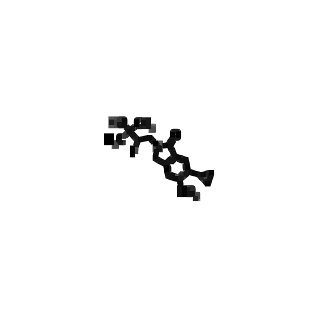 CC(C)(O)C(F)CN1Cc2cc([N+](=O)[O-])c(C3CC3)cc2C1=O